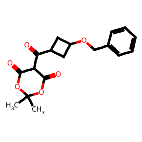 CC1(C)OC(=O)C(C(=O)C2CC(OCc3ccccc3)C2)C(=O)O1